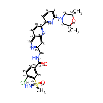 C[C@@H]1CN(c2cccc(-c3ccc4cnc(CNC(=O)c5ccc(Cl)c(S(C)(=N)=O)c5)cc4n3)n2)C[C@H](C)O1